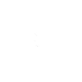 CCC1SSCC(=O)N=NC1=O